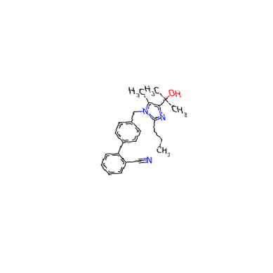 CCCc1nc(C(C)(C)O)c(C)n1Cc1ccc(-c2ccccc2C#N)cc1